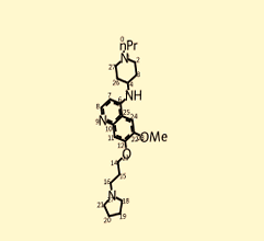 CCCN1CCC(Nc2ccnc3cc(OCCCN4CCCC4)c(OC)cc23)CC1